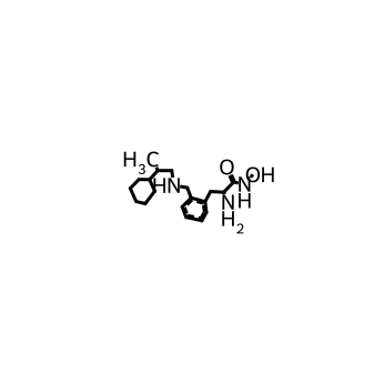 CC(CNCc1ccccc1CC(N)C(=O)NO)C1CCCCC1